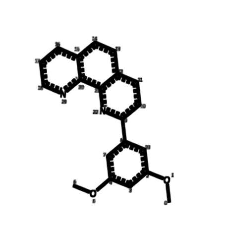 COc1cc(OC)cc(-c2ccc3ccc4cccnc4c3n2)c1